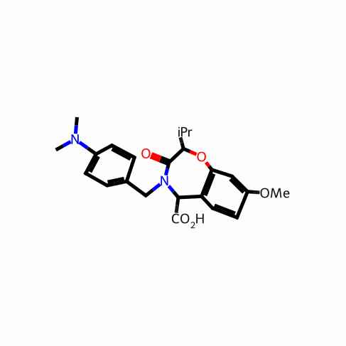 COc1ccc2c(c1)OC(C(C)C)C(=O)N(Cc1ccc(N(C)C)cc1)C2C(=O)O